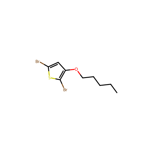 CCCCCOc1cc(Br)sc1Br